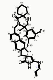 C=C/C=N\C1=C[C@@]2(Cc3cc4cc(CN5C(=O)C6(CCCCC6)NCC5(C)c5cc(F)cc(F)c5)cnc4cc3C2)C(=O)N1